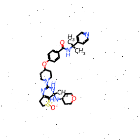 CC1(NC2CCOCC2)NC(N2CCC(Oc3ccc(C(=O)NC(C)(C)c4ccncc4)cc3)CC2)=NC2=C1[S+]([O-])CC2